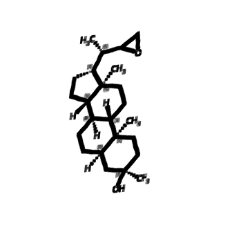 C[C@H](C1CO1)[C@H]1CC[C@H]2[C@@H]3CC[C@@H]4C[C@@](O)(C(F)(F)F)CC[C@]4(C)[C@H]3CC[C@]12C